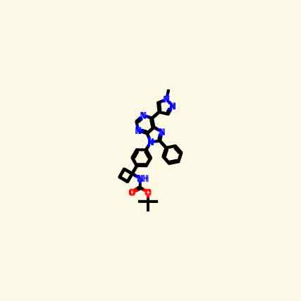 Cn1cc(-c2ncnc3c2nc(-c2ccccc2)n3-c2ccc(C3(NC(=O)OC(C)(C)C)CCC3)cc2)cn1